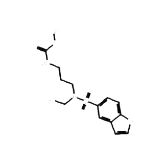 CC(C)CN(CCCNC(=O)OC(C)(C)C)S(=O)(=O)c1ccc2occc2c1